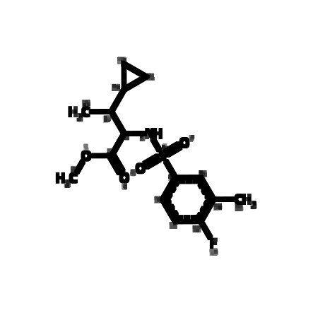 COC(=O)C(NS(=O)(=O)c1ccc(F)c(C)c1)C(C)C1CC1